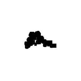 COc1nc(-c2cccc(-c3cccc(-c4ccn5c(=O)c(C=O)cnc5c4)c3Cl)c2Cl)ccc1COC(=O)NCCO